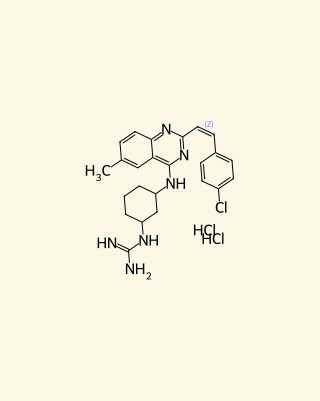 Cc1ccc2nc(/C=C\c3ccc(Cl)cc3)nc(NC3CCCC(NC(=N)N)C3)c2c1.Cl.Cl